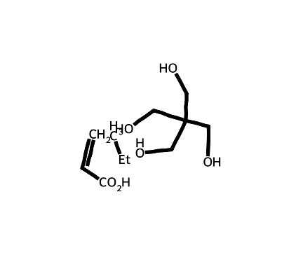 C=CC(=O)O.CCC.OCC(CO)(CO)CO